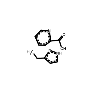 CCc1cc[nH]n1.O=C(O)c1ccccn1